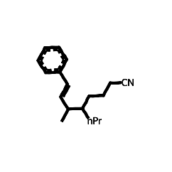 CCCC(CCCC#N)C(C)/C=C/c1ccccc1